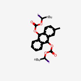 CCCCC(I)OC(=O)Oc1c2ccccc2c(OC(=O)OC(I)CCCC)c2cc(C)ccc12